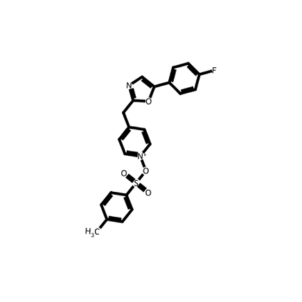 Cc1ccc(S(=O)(=O)O[n+]2ccc(Cc3ncc(-c4ccc(F)cc4)o3)cc2)cc1